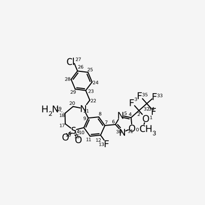 COC(F)(c1nc(-c2cc3c(cc2F)S(=O)(=O)C[C@H](N)CN3Cc2ccc(Cl)cc2)no1)C(F)(F)F